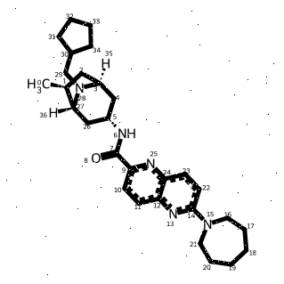 C[C@H]1C[C@H]2C[C@H](NC(=O)c3ccc4nc(N5CCCCCC5)ccc4n3)C[C@H]1N2CC1CCCC1